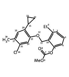 CCc1cccc(OC(=O)OC)c1COc1cc(Cl)c(C)cc1C1CC1